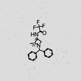 C[C@H]1[C@H](NC(=O)C(F)(F)F)CN1C(c1ccccc1)c1ccccc1